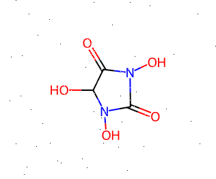 O=C1C(O)N(O)C(=O)N1O